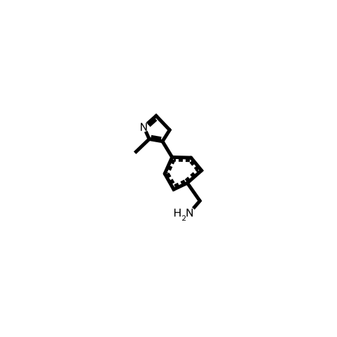 CC1=C(c2ccc(CN)cc2)CC=N1